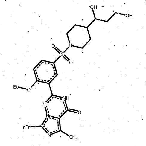 CCCc1nc(C)c2c(=O)[nH]c(-c3cc(S(=O)(=O)N4CCC(C(O)CCO)CC4)ccc3OCC)nn12